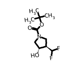 CC(C)(C)OC(=O)N1C[C@@H](O)[C@H](C(F)F)C1